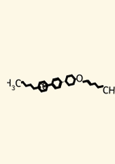 CCCCC=CCO[C@H]1CC[C@H](c2ccc(C34CCC(CCCCC)(CC3)CC4)cc2)CC1